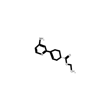 CCOC(=O)[C@@H]1CC=C(c2cc(N)ccn2)CC1